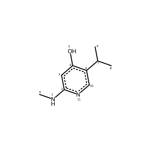 CNc1cc(O)c(C(C)C)cn1